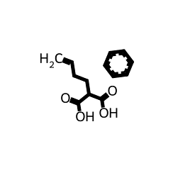 C=CCCC(C(=O)O)C(=O)O.c1ccccc1